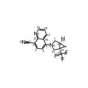 N#Cc1ccc(N2C[C@H]3C[C@]3(C(F)(F)F)C2)c2cccnc12